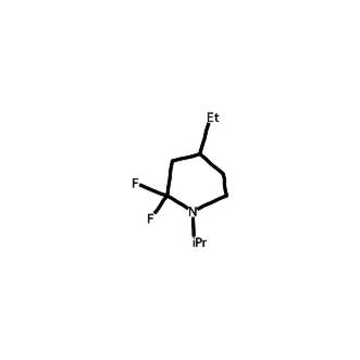 CCC1CCN(C(C)C)C(F)(F)C1